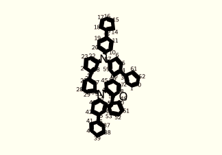 c1ccc(-c2ccc(N(c3ccc(-c4ccccc4)cc3)c3cccc(-c4cccc(N(c5ccc(-c6ccccc6)cc5)c5cccc6oc7ccccc7c56)c4)c3)cc2)cc1